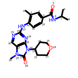 Cc1cc(C(=O)NC(C)C)ccc1Nc1ncc2c(n1)n(C1CCOCC1)c(=O)n2C